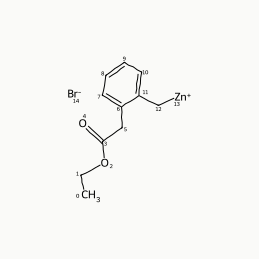 CCOC(=O)Cc1ccccc1[CH2][Zn+].[Br-]